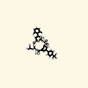 Cc1cccc(C)c1-c1cc2nc(n1)NS(=O)(=O)c1cc(cc(-c3ccc(C(C)(C)C)cc3)c1)C(=O)N[C@H](CC(C)C)CO2